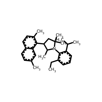 CCc1cccc(C(C)C)c1N1C(C)C(c2c(C)ccc3ccc(C)cc23)CC1(C)C